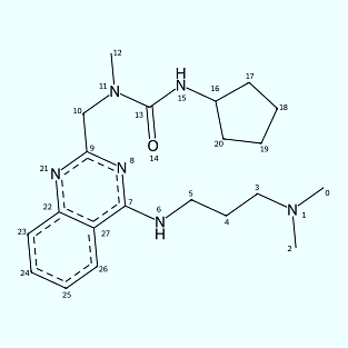 CN(C)CCCNc1nc(CN(C)C(=O)NC2CCCC2)nc2ccccc12